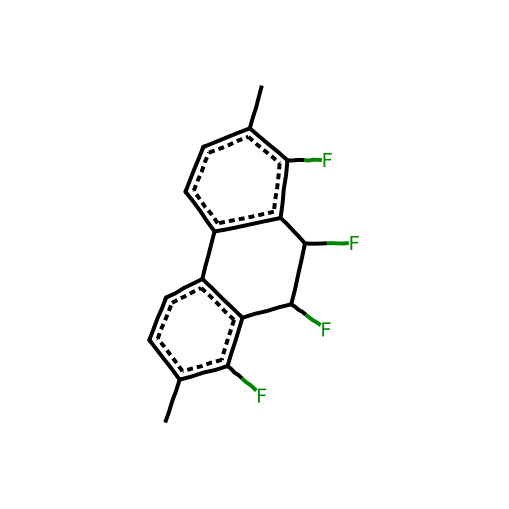 Cc1ccc2c(c1F)C(F)C(F)c1c-2ccc(C)c1F